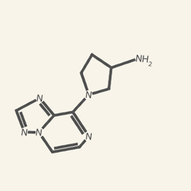 NC1CCN(c2nccn3ncnc23)C1